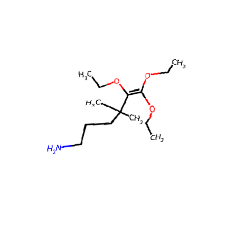 CCOC(OCC)=C(OCC)C(C)(C)CCCN